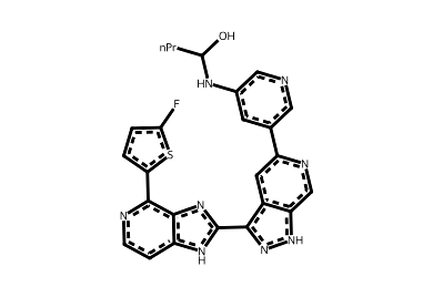 CCCC(O)Nc1cncc(-c2cc3c(-c4nc5c(-c6ccc(F)s6)nccc5[nH]4)n[nH]c3cn2)c1